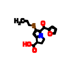 C=CCSc1cc2n(c1C(=O)c1ccco1)CCC2C(=O)O